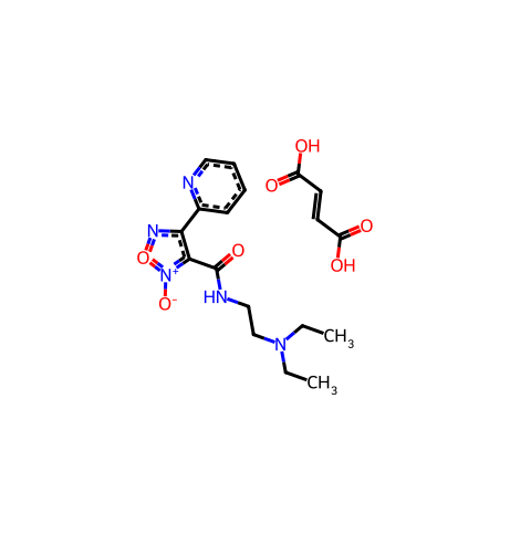 CCN(CC)CCNC(=O)c1c(-c2ccccn2)no[n+]1[O-].O=C(O)/C=C/C(=O)O